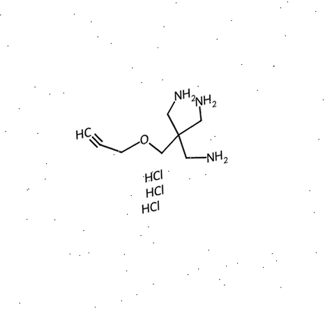 C#CCOCC(CN)(CN)CN.Cl.Cl.Cl